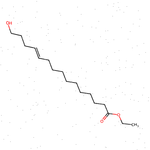 CCOC(=O)CCCCCCCCCC=CCCCO